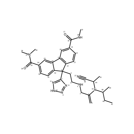 C=C(CNCCC1(c2nn[nH]n2)c2ccc(C(=O)NC)cc2-c2cc(C(=O)N(C)C)ccc21)N(C(C)C#N)C(C)CC